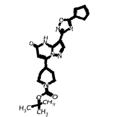 CC(C)(C)OC(=O)N1CCC(c2cc(=O)[nH]c3c(-c4noc(C5CCCC5)n4)cnn23)CC1